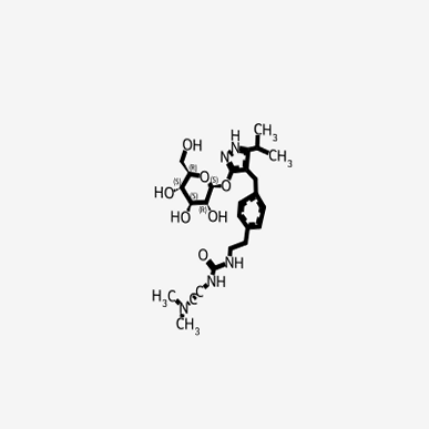 CC(C)c1[nH]nc(O[C@@H]2O[C@H](CO)[C@@H](O)[C@H](O)[C@H]2O)c1Cc1ccc(CCNC(=O)NCCN(C)C)cc1